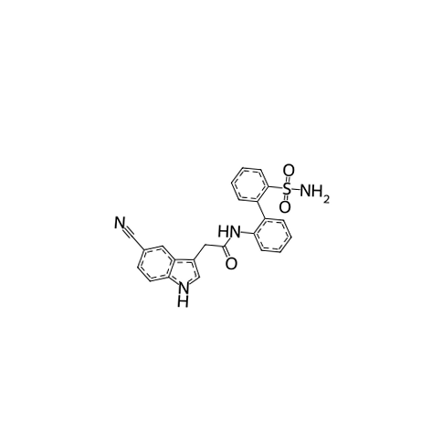 N#Cc1ccc2[nH]cc(CC(=O)Nc3ccccc3-c3ccccc3S(N)(=O)=O)c2c1